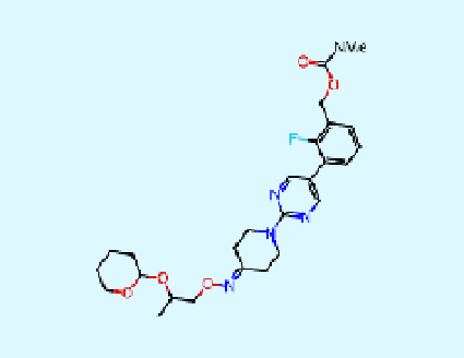 CNC(=O)OCc1cccc(-c2cnc(N3CCC(=NOCC(C)OC4CCCCO4)CC3)nc2)c1F